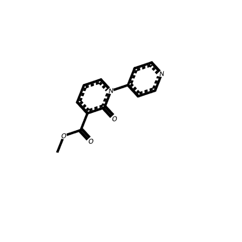 COC(=O)c1cccn(-c2ccncc2)c1=O